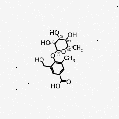 Cc1cc(C(=O)O)cc(CO)c1O[C@@H]1O[C@@H](C)[C@H](O)[C@@H](O)[C@H]1O